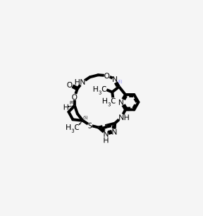 CC(C)/C1=N\OCCNC(=O)O[C@@H]2CC[C@@](C)(C2)Sc2cc(n[nH]2)Nc2cccc1n2